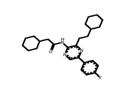 O=C(CC1CCCCC1)Nc1ncc(-c2ccc(F)cc2)nc1CCC1CCCCC1